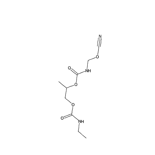 CCNC(=O)OCC(C)OC(=O)NCOC#N